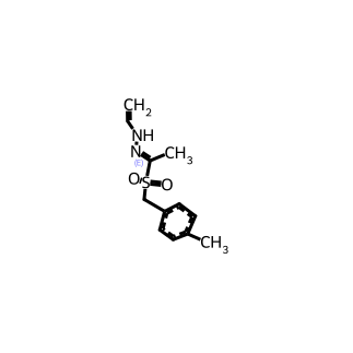 C=CN/N=C(\C)S(=O)(=O)Cc1ccc(C)cc1